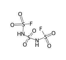 O=S(=O)(F)NS(=O)(=O)NS(=O)(=O)F